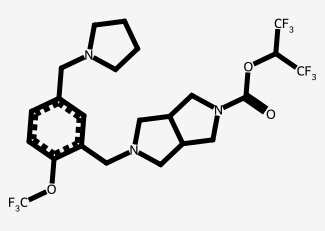 O=C(OC(C(F)(F)F)C(F)(F)F)N1CC2CN(Cc3cc(CN4CCCC4)ccc3OC(F)(F)F)CC2C1